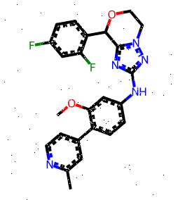 COc1cc(Nc2nc3n(n2)CCOC3c2ccc(F)cc2F)ccc1-c1ccnc(C)c1